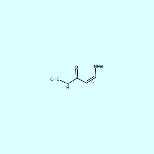 CN/C=C\C(=O)NC=O